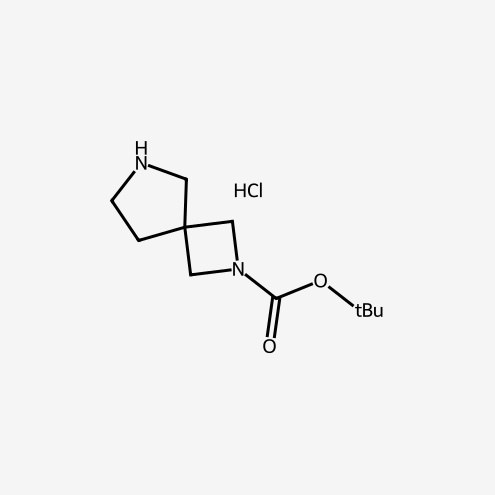 CC(C)(C)OC(=O)N1CC2(CCNC2)C1.Cl